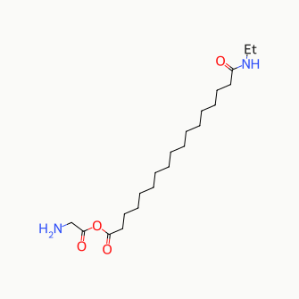 CCNC(=O)CCCCCCCCCCCCCCCC(=O)OC(=O)CN